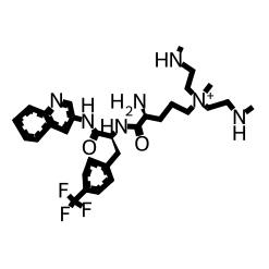 CNCC[N+](C)(CCC[C@H](N)C(=O)N[C@@H](Cc1ccc(C(F)(F)F)cc1)C(=O)Nc1cnc2ccccc2c1)CCNC